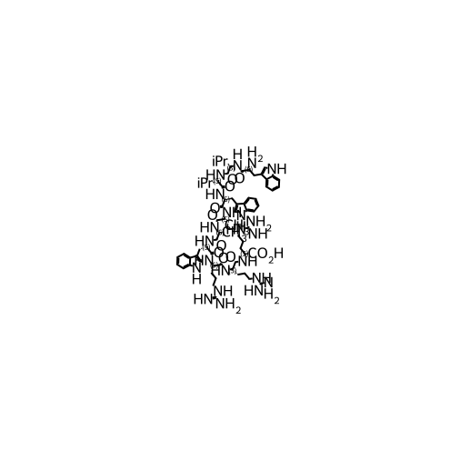 CC(C)[C@H](NC(=O)[C@@H](NC(=O)[C@@H](N)Cc1c[nH]c2ccccc12)C(C)C)C(=O)N[C@@H](Cc1c[nH]c2ccccc12)C(=O)N[C@@H](C)C(=O)N[C@@H](C)C(=O)N[C@@H](Cc1c[nH]c2ccccc12)C(=O)N[C@@H](CCCNC(=N)N)C(=O)N[C@@H](CCCNC(=N)N)C(=O)N[C@@H](CCCNC(=N)N)C(=O)O